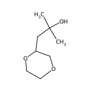 CC(C)(O)CC1COCCO1